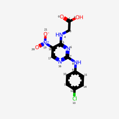 O=C(O)CNc1nc(Nc2ccc(Cl)cc2)ncc1[N+](=O)[O-]